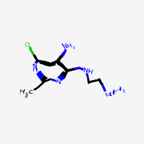 Cc1nc(Cl)c(N)c(NCCN)n1